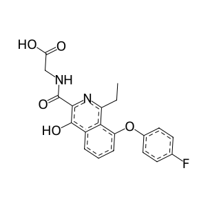 CCc1nc(C(=O)NCC(=O)O)c(O)c2cccc(Oc3ccc(F)cc3)c12